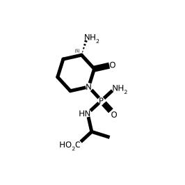 CC(NP(N)(=O)N1CCC[C@H](N)C1=O)C(=O)O